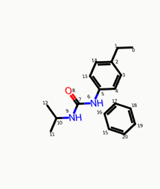 CCc1ccc(NC(=O)NC(C)C)cc1.c1ccccc1